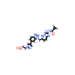 O=C(Nc1cn2nc(Cn3nnc4ccc(-c5cnn(CCO)c5)cc43)ccc2n1)C1CC1